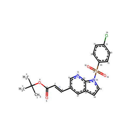 CC(C)(C)OC(=O)/C=C/c1cnc2c(ccn2S(=O)(=O)c2ccc(Cl)cc2)c1